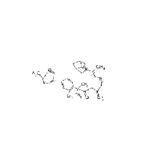 C=C(/C=N\C=C(/C)N1CC2CC(C1)O2)CC(=O)C(C)(C)c1ccc(-c2cnc(C)nc2)cc1C